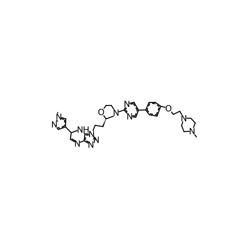 CN1CCN(CCOc2ccc(-c3cnc(N4CCO[C@H](CCn5nnc6c5NC(c5cnn(C)c5)C=N6)C4)nc3)cc2)CC1